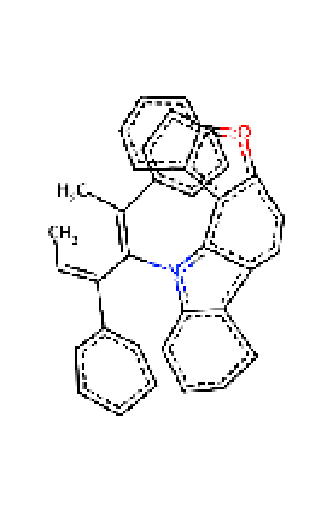 C/C=C(\C(=C(/C)c1ccccc1)n1c2ccccc2c2ccc3oc4ccccc4c3c21)c1ccccc1